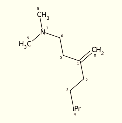 C=C(CCC(C)C)CCN(C)C